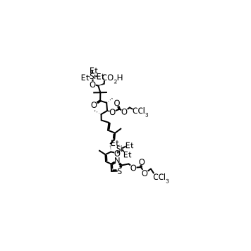 CC[Si](CC)(CC)O[C@@H](CC=C(C)C=CC[C@H](C)[C@H](OC(=O)OCC(Cl)(Cl)Cl)[C@@H](C)C(=O)C(C)(C)[C@H](CC(=O)O)O[Si](CC)(CC)CC)C(C)=Cc1csc(COC(=O)OCC(Cl)(Cl)Cl)n1